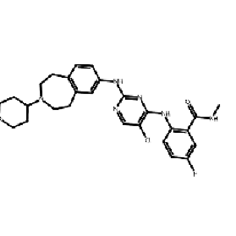 CNC(=O)c1cc(F)ccc1Nc1nc(Nc2ccc3c(c2)CCN(C2CCOCC2)CC3)ncc1Cl